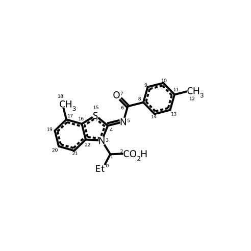 CCC(C(=O)O)n1c(=NC(=O)c2ccc(C)cc2)sc2c(C)cccc21